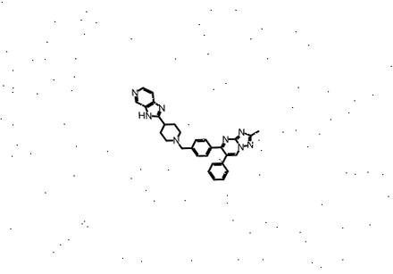 Cc1nc2nc(-c3ccc(CN4CCC(c5nc6ccncc6[nH]5)CC4)cc3)c(-c3ccccc3)cn2n1